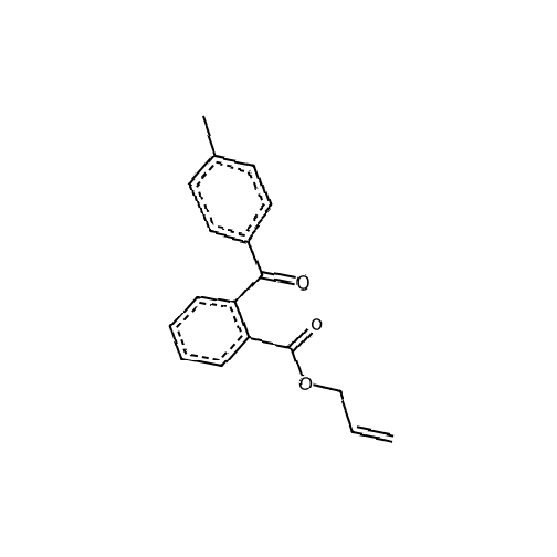 C=CCOC(=O)c1ccccc1C(=O)c1ccc(C)cc1